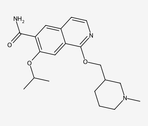 CC(C)Oc1cc2c(OCC3CCCN(C)C3)nccc2cc1C(N)=O